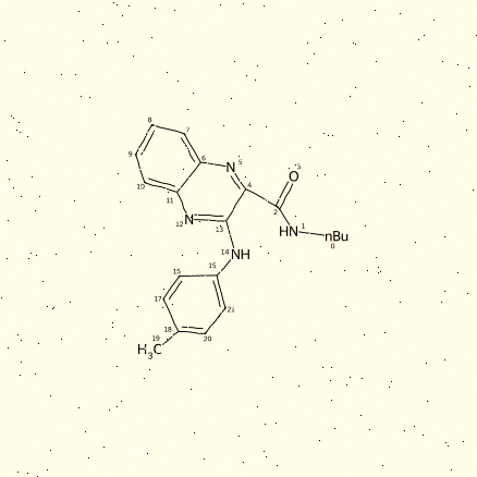 CCCCNC(=O)c1nc2ccccc2nc1Nc1ccc(C)cc1